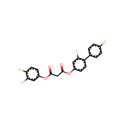 O=C(CC(=O)Oc1ccc(-c2ccc(F)cc2)c(F)c1)Oc1ccc(F)c(F)c1